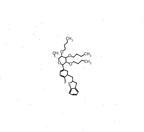 CCCCOC1[C@@H](OCCCC)C(C2=CC=C(F)C(CC3Cc4ccccc4S3)C2)O[C@H](CO)[C@H]1OCCCC